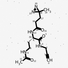 C#CCNC(=O)[C@H](CCNC(C)=O)NC(=O)CCC1(C)N=N1